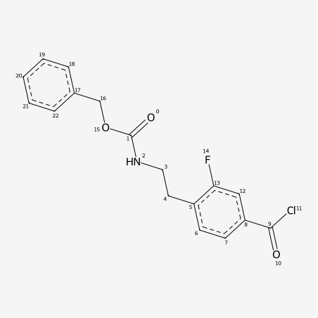 O=C(NCCc1ccc(C(=O)Cl)cc1F)OCc1ccccc1